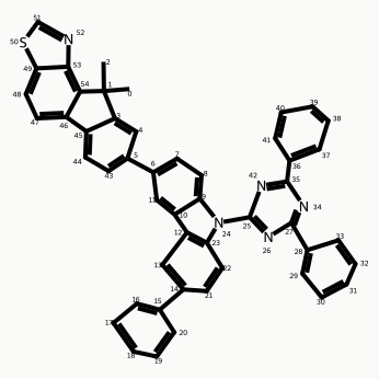 CC1(C)c2cc(-c3ccc4c(c3)c3cc(-c5ccccc5)ccc3n4-c3nc(-c4ccccc4)nc(-c4ccccc4)n3)ccc2-c2ccc3scnc3c21